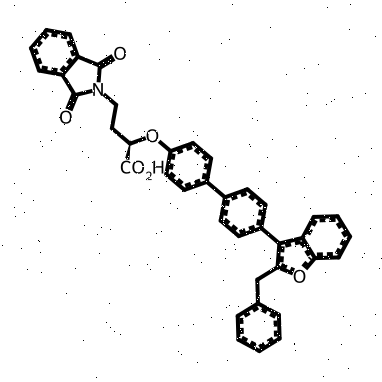 O=C(O)[C@@H](CCN1C(=O)c2ccccc2C1=O)Oc1ccc(-c2ccc(-c3c(Cc4ccccc4)oc4ccccc34)cc2)cc1